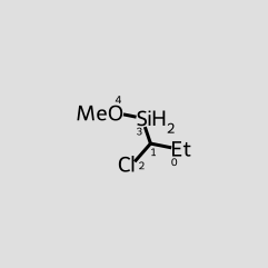 CCC(Cl)[SiH2]OC